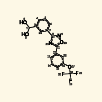 OC(O)c1cccc(-c2noc(-c3cccc(OC(F)(F)F)c3)n2)c1